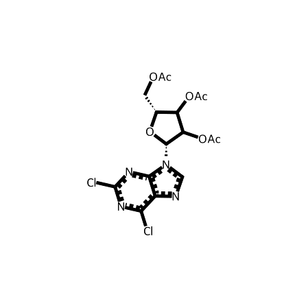 CC(=O)OC[C@H]1O[C@@H](n2cnc3c(Cl)nc(Cl)nc32)C(OC(C)=O)C1OC(C)=O